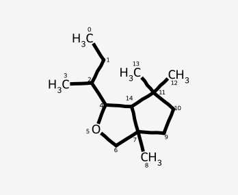 CCC(C)C1OCC2(C)CCC(C)(C)C12